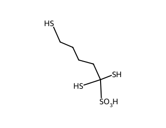 O=S(=O)(O)C(S)(S)CCCCS